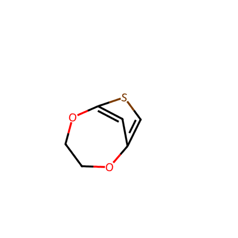 c1sc2cc1OCCO2